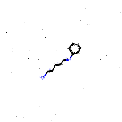 N/C=C/C=C/C=N/c1ccccc1